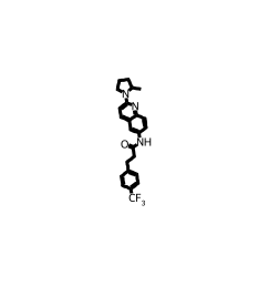 CC1CCCN1c1ccc2cc(NC(=O)CCc3ccc(C(F)(F)F)cc3)ccc2n1